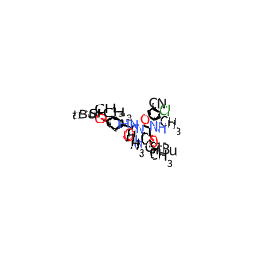 Cc1c(N[C@@H](C(=O)NNC(=O)c2ccc(O[Si](C)(C)C(C)(C)C)cc2)[C@@H](C)O[Si](C)(C)C(C)(C)C)ccc(C#N)c1Cl